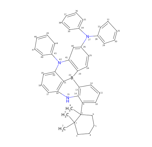 CC1(C)CCCCC1(C)c1cccc2c1Nc1cccc3c1B2c1ccc(N(c2ccccc2)c2ccccc2)cc1N3c1ccccc1